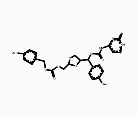 CC(=O)Oc1ccc(COC(=O)OCC2OCC(C(OC(=O)Nc3cc[nH]c(=O)n3)c3ccc(OC(C)=O)cc3)O2)cc1